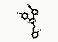 N#Cc1ccnc(-c2nc(CCc3ccccc3Cl)[nH]c2-c2ccc(Cl)cc2)c1